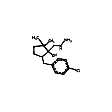 CC1(C)CCC(Cc2ccc(Cl)cc2)C1(O)CNN